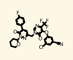 N#Cc1cc(Cl)cc(Oc2c(C(F)(F)F)ncn(Cc3cc(-c4ccc(F)cc4)c(=O)n(C4CCCCO4)n3)c2=O)c1